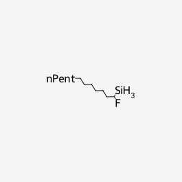 CCCCCCCCCCCC(F)[SiH3]